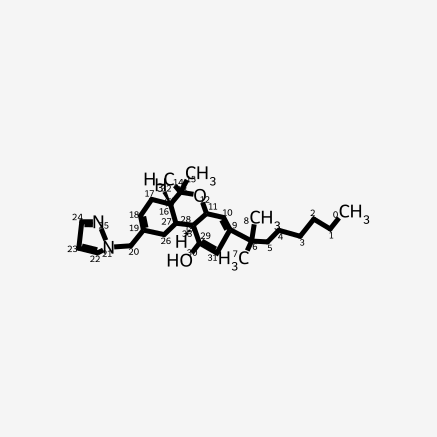 CCCCCCC(C)(C)C1=CC2OC(C)(C)[C@H]3CC=C(Cn4cccn4)CC3[C@@H]2C(O)=C1